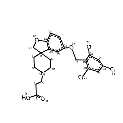 O=C(O)CCN1CCC2(CC1)COc1ccc(OCc3c(Cl)cc(Cl)cc3Cl)cc12